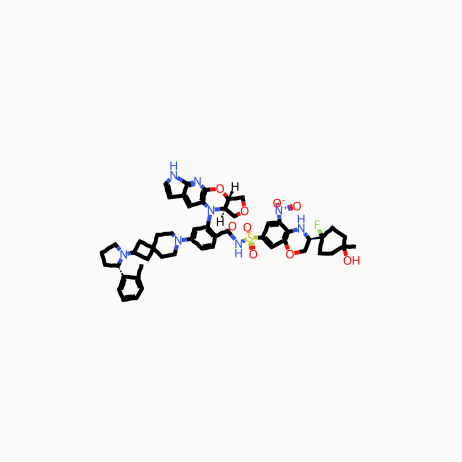 Cc1ccccc1[C@@H]1CCCN1C1CC2(CCN(c3ccc(C(=O)NS(=O)(=O)c4cc5c(c([N+](=O)[O-])c4)N[C@@H](C4(F)CCC(C)(O)CC4)CO5)c(N4c5cc6cc[nH]c6nc5O[C@@H]5COC[C@H]54)c3)CC2)C1